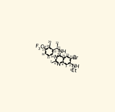 CCNc1cc2nc(C)nc(N[C@H](C)c3cccc(C(F)(F)F)c3C)c2cc1Br